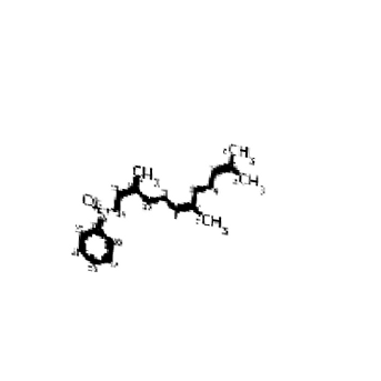 CC(C)=CCCC(C)=CCCC(C)=CC[S+]([O-])c1ccccc1